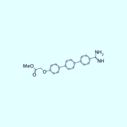 COC(=O)COc1ccc(-c2ccc(-c3ccc(C(=N)N)cc3)cc2)cc1